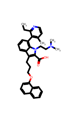 CCc1nccc(C)c1-c1cccc2c(CCCOc3cccc4ccccc34)c(C(=O)O)n(CCN(C)C)c12